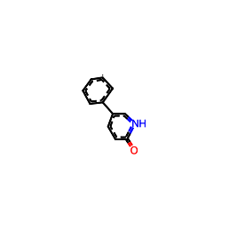 O=c1ccc(-c2c[c]ccc2)c[nH]1